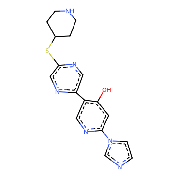 Oc1cc(-n2ccnc2)ncc1-c1cnc(SC2CCNCC2)cn1